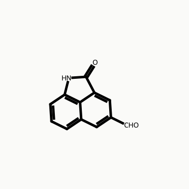 O=Cc1cc2c3c(cccc3c1)NC2=O